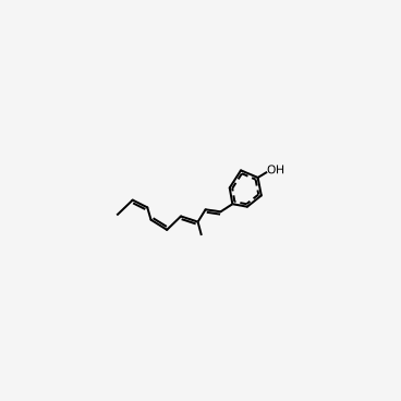 C\C=C/C=C\C=C(C)\C=C\c1ccc(O)cc1